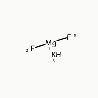 [F][Mg][F].[KH]